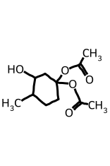 CC(=O)OC1(OC(C)=O)CCC(C)C(O)C1